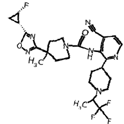 CC(N1CCC(c2nccc(C#N)c2NC(=O)N2CCC(C)(c3noc([C@@H]4C[C@@H]4F)n3)CC2)CC1)C(F)(F)F